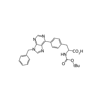 CC(C)(C)OC(=O)NC(Cc1ccc(-c2ncnc3c2ncn3Cc2ccccc2)cc1)C(=O)O